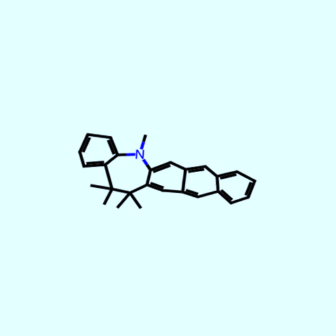 CN1c2ccccc2C(C)(C)C(C)(C)c2cc3cc4ccccc4cc3cc21